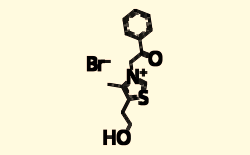 Cc1c(CCO)sc[n+]1CC(=O)c1ccccc1.[Br-]